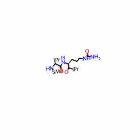 CSN[C@H](C(=O)N[C@@H](CCCNC(N)=O)C(=O)C(C)C)C(C)C